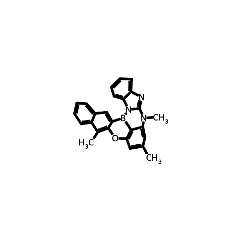 Cc1cc2c3c(c1)N(C)c1nc4ccccc4n1B3c1cc3ccccc3c(C)c1O2